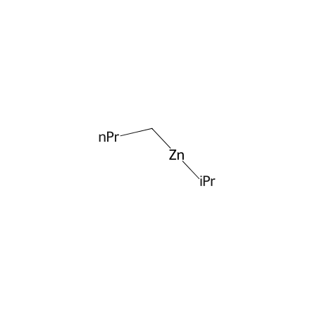 CCC[CH2][Zn][CH](C)C